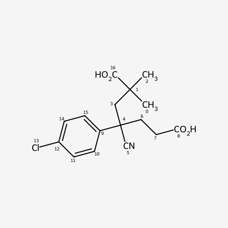 CC(C)(CC(C#N)(CCC(=O)O)c1ccc(Cl)cc1)C(=O)O